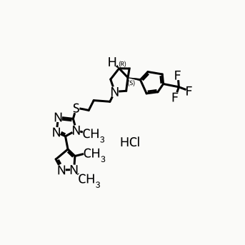 Cc1c(-c2nnc(SCCCN3C[C@@H]4C[C@]4(c4ccc(C(F)(F)F)cc4)C3)n2C)cnn1C.Cl